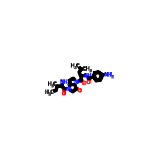 CCC(C)C(N)C(=O)N1CC(=O)C2C1CCN2C(=O)C(CC(C)C)NC(=O)c1ccc(N)cc1